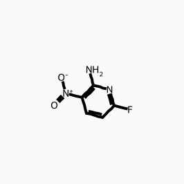 Nc1nc(F)ccc1[N+](=O)[O-]